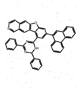 c1ccc(C2=NC(c3ccccc3)NC(c3cc(-c4cc5ccccc5c5ccccc45)cc4oc5cc6ccncc6cc5c34)=N2)cc1